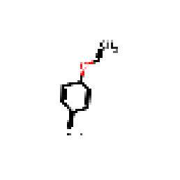 C=COC1C=CC(=C)C=C1